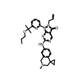 C=CCn1c(=O)c2cnc(Nc3ccc4c(c3)CN(C)CC43CC3)nc2n1-c1cccc(C(C)(C)OCCC)n1